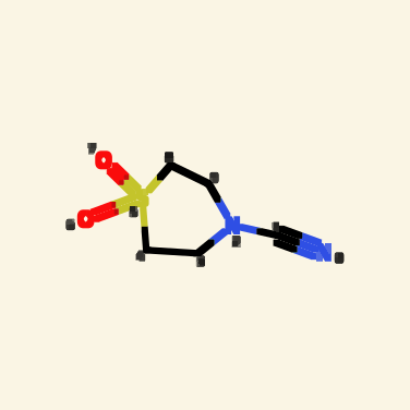 N#CN1CCS(=O)(=O)CC1